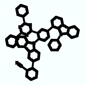 N#Cc1ccccc1-c1ccc2c(c1)c1ccccc1n2-c1ccc(-c2cccc3c4ccccc4n(-c4ccccc4)c23)cc1-c1nc(-c2ccccc2)nc(-c2ccccc2)n1